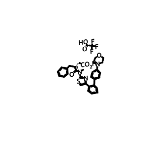 CN(C(=O)[C@@H](CC(=O)O)Cc1ccccc1)c1nc(-c2ccccc2-c2ccc(N3CCOCC3)cc2)cs1.O=C(O)C(F)(F)F